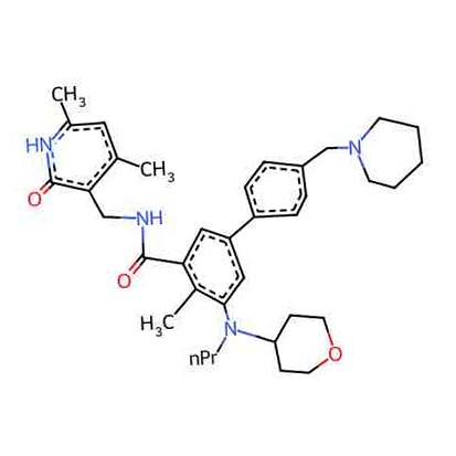 CCCN(c1cc(-c2ccc(CN3CCCCC3)cc2)cc(C(=O)NCc2c(C)cc(C)[nH]c2=O)c1C)C1CCOCC1